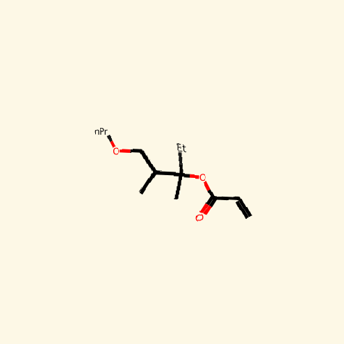 C=CC(=O)OC(C)(CC)C(C)COCCC